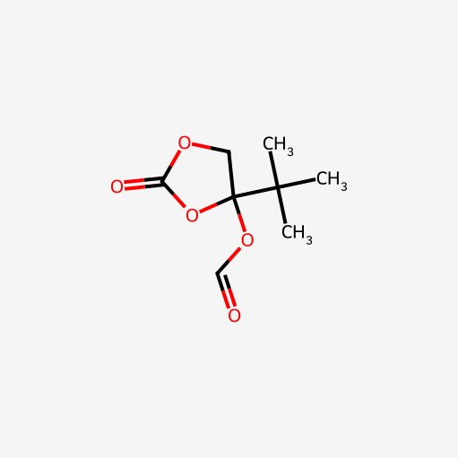 CC(C)(C)C1(OC=O)COC(=O)O1